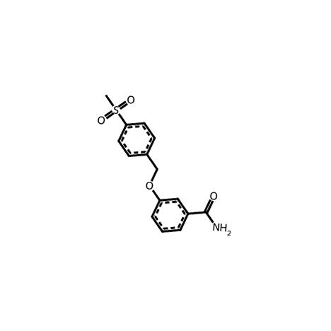 CS(=O)(=O)c1ccc(COc2cccc(C(N)=O)c2)cc1